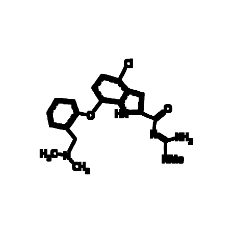 CNC(N)=NC(=O)c1cc2c(Cl)ccc(Oc3ccccc3CN(C)C)c2[nH]1